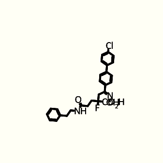 O=C(CCC(F)(CC(=NO)c1ccc(-c2ccc(Cl)cc2)cc1)C(=O)O)NCCc1ccccc1